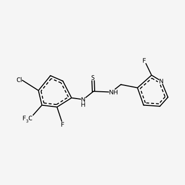 Fc1ncccc1CNC(=S)Nc1ccc(Cl)c(C(F)(F)F)c1F